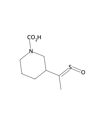 CC(=S=O)C1CCCN(C(=O)O)C1